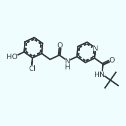 CC(C)(C)NC(=O)c1cc(NC(=O)Cc2cccc(O)c2Cl)ccn1